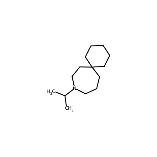 CC(C)N1CCCC2(CCCCC2)CC1